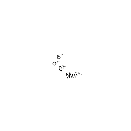 [Mn+2].[O-2].[O-2].[S+2]